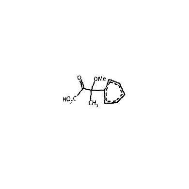 COC(C)(C(=O)C(=O)O)c1ccccc1